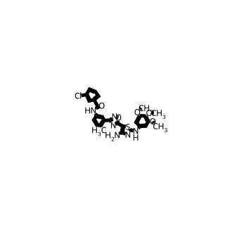 COc1cc(Nc2nc(N)c(-c3nc(-c4cc(NC(=O)c5cccc(Cl)c5)ccc4C)no3)s2)cc(OC)c1OC